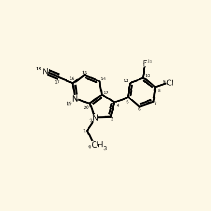 CCn1cc(-c2ccc(Cl)c(F)c2)c2ccc(C#N)nc21